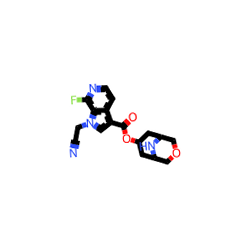 N#CCn1cc(C(=O)OC2CC3COCC(C2)N3)c2ccnc(F)c21